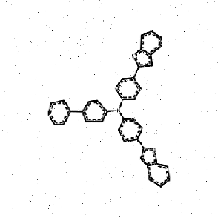 c1ccc(-c2ccc(N(c3ccc(-c4cc5ccccc5s4)cc3)c3ccc(-c4cc5ccccc5s4)cc3)cc2)cc1